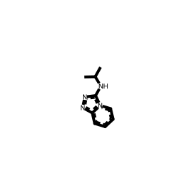 CC(C)Nc1nnc2ccccn12